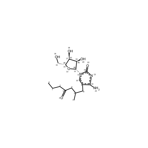 CCCC(=O)CC(C)Cc1cn([C@@H]2O[C@H](CO)[C@@H](O)[C@H]2O)c(=O)nc1N